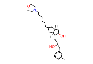 Cc1cccc(C[C@@H](O)/C=C/[C@@H]2[C@H]3CC(CCCCCCN4CCOCC4)=C[C@H]3C[C@H]2O)c1